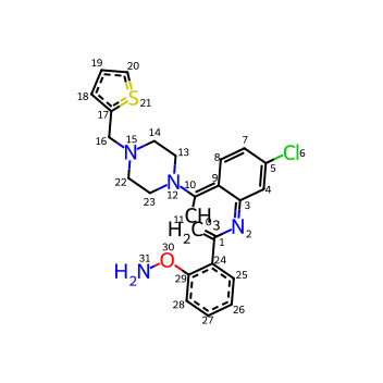 C=C(/N=C1/C=C(Cl)C=C/C1=C(/C)N1CCN(Cc2cccs2)CC1)c1ccccc1ON